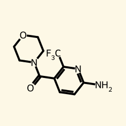 Nc1ccc(C(=O)N2CCOCC2)c(C(F)(F)F)n1